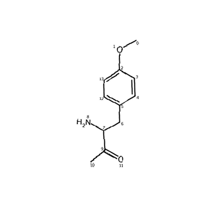 COc1ccc(CC(N)C(C)=O)cc1